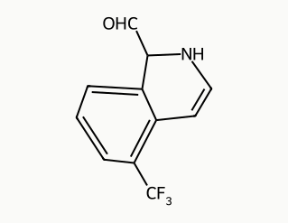 O=CC1NC=Cc2c1cccc2C(F)(F)F